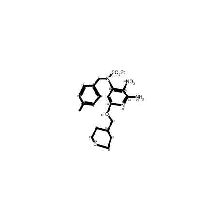 CCOC(=O)N(Cc1ccc(C)cc1)c1cc(OCC2CCOCC2)nc(N)c1[N+](=O)[O-]